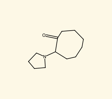 O=C1CCCCCCC1N1CCCC1